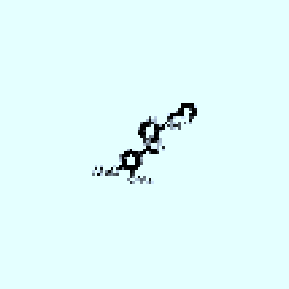 COc1ccc(-c2cnc3c(NCc4ccco4)nccn23)cc1OC